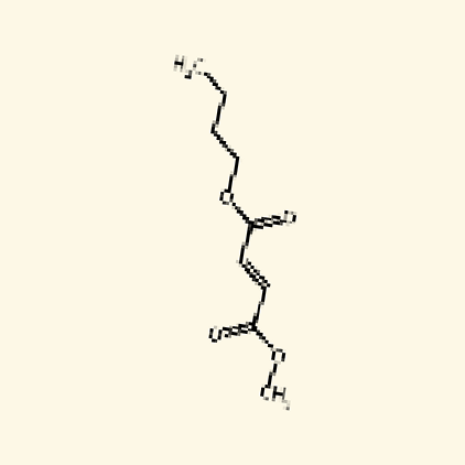 CCCCOC(=O)C=CC(=O)OC